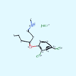 CCCC(CCNC)Oc1ccc(Cl)cc1Cl.Cl